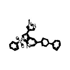 Cn1cc(-c2cn(S(=O)(=O)c3ccccc3)c3ncc(C4CCC(c5ccccc5)CC4)cc23)cn1